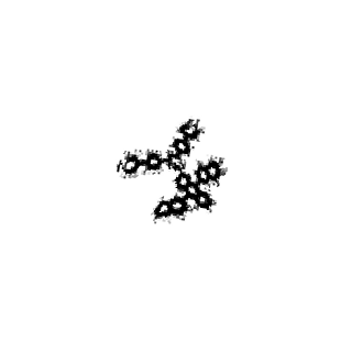 c1ccc2cc(-c3c4ccccc4c(-c4ccc5ccccc5c4)c4cc(-c5nc(-c6ccc(-c7ccncc7)cc6)cc(-c6ccc(-c7ccncc7)cc6)n5)ccc34)ccc2c1